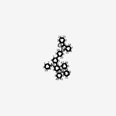 c1ccc(-n2c3ccc(-c4ccc(-n5c6ccccc6c6c7ccccc7oc65)cc4)cc3c3cc([Si](c4ccccc4)(c4ccccc4)c4ccccc4)ccc32)cc1